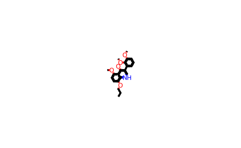 CCCOc1ccc(OC)c2c(=O)c(-c3cccc(OC)c3OC)c[nH]c12